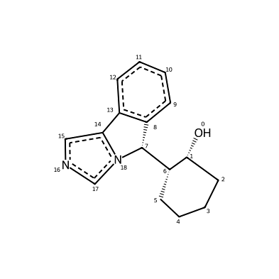 O[C@@H]1CCCC[C@@H]1[C@H]1c2ccccc2-c2cncn21